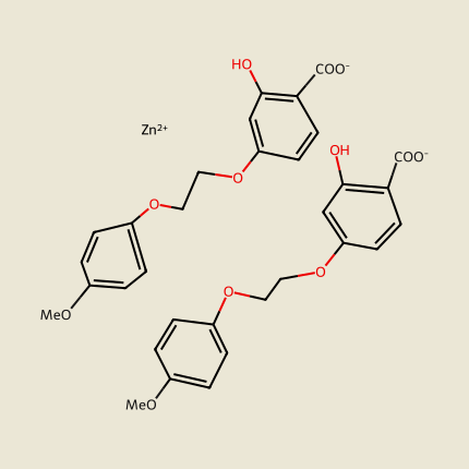 COc1ccc(OCCOc2ccc(C(=O)[O-])c(O)c2)cc1.COc1ccc(OCCOc2ccc(C(=O)[O-])c(O)c2)cc1.[Zn+2]